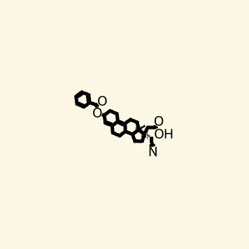 C[C@]12CCC3=C4CCC(OC(=O)c5ccccc5)C=C4CCC3C1CC[C@]2(CC#N)CC(=O)O